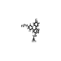 CCCc1ccc(-c2nc(SCC3CC3)nnc2-c2ccc(F)cc2)cc1